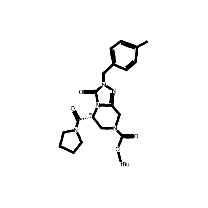 Cc1ccc(Cn2nc3n(c2=O)[C@@H](C(=O)N2CCCC2)CN(C(=O)OC(C)(C)C)C3)cc1